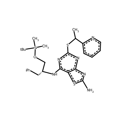 CC(C)C[C@H](CO[Si](C)(C)C(C)(C)C)Nc1nc(SC(C)c2ccccn2)nc2nc(N)sc12